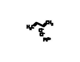 C=CC=C.[Cl-].[Cl-].[Pt+2]